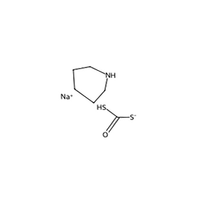 C1CCNCC1.O=C([S-])S.[Na+]